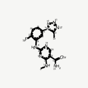 CNc1nc(Nc2cc(-n3nnnc3C)ccc2F)ncc1C(N)=O